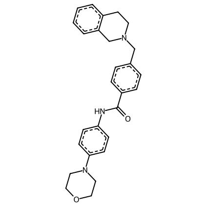 O=C(Nc1ccc(N2CCOCC2)cc1)c1ccc(CN2CCc3ccccc3C2)cc1